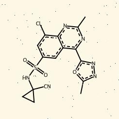 Cc1nc(-c2nnc(C)o2)c2cc(S(=O)(=O)NC3(C#N)CC3)cc(Cl)c2n1